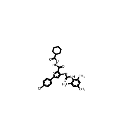 Cc1cc(C)c(NC(=O)Nc2cc(-c3ccc(Cl)cc3)sc2C(=O)NOC(=O)C2CCCCC2)c(C)c1